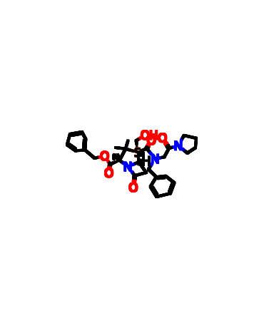 CC1(C)[C@H](C(=O)OCc2ccccc2)N2C(=O)C[C@H]2[S@@]1(CO)C(=O)N(CC(=O)N1CCCC1)Cc1ccccc1